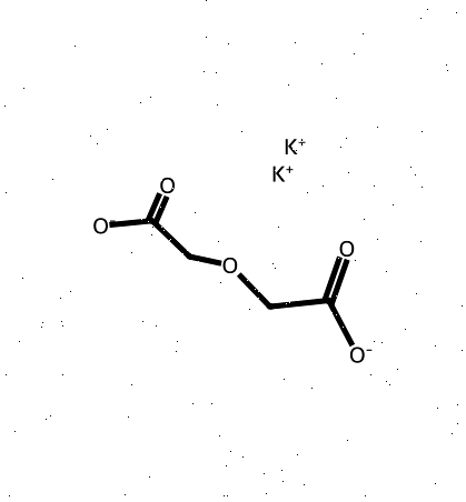 O=C([O-])COCC(=O)[O-].[K+].[K+]